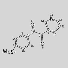 CSc1ccc(C(=O)C(=O)c2cccnc2)cc1